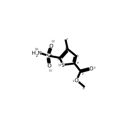 COC(=O)c1cc(C)c(S(N)(=O)=O)s1